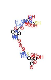 N[C@H](CNC(=O)CCC(=O)N1c2ccccc2-c2nnn(CCOCCOCCOCCNC(=S)Nc3ccc(-c4c5ccc(=O)cc-5oc5cc(O)ccc45)c(C(=O)O)c3)c2-c2ccccc21)C(=O)N[C@H](CC(=O)O)C(=O)N[C@H](CCS)C(=O)O